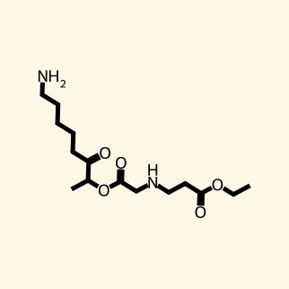 CCOC(=O)CCNCC(=O)OC(C)C(=O)CCCCCN